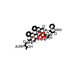 CNC(=O)C(NC(=O)[C@H](C)N(C)C(=O)[C@H](C(C)C)N(C)C(=O)[C@H](CC(C)C)N(C)C(=O)[C@H](Cc1ccccc1)NC(=O)[C@H](CC(C)C)N(C)C(=O)[C@H](Cc1ccccc1)N(C)C(=O)[C@H](C)N(C)C(=O)[C@H](C)NC(=O)[C@@H](NC(C)=O)C(C)O)C(=O)N1CCCCC1